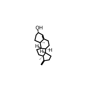 C=C1CC[C@H]2[C@@H]3CCC4=C[C@H](O)CC[C@]4(C)[C@H]3CC[C@]12C